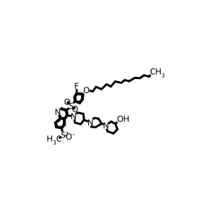 CCCCCCCCCCCCCCOc1ccc(S(=O)(=O)c2cnc3ccc([S+](C)[O-])cc3c2N2CCC(N3CCC(N4CCCC(O)C4)CC3)CC2)cc1F